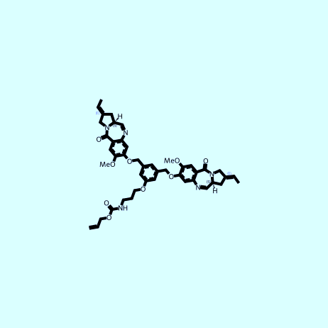 C=CCOC(=O)NCCCOc1cc(COc2cc3c(cc2OC)C(=O)N2C/C(=C/C)C[C@H]2C=N3)cc(COc2cc3c(cc2OC)C(=O)N2C/C(=C/C)C[C@H]2C=N3)c1